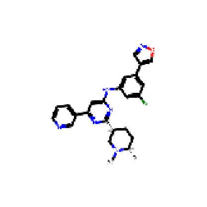 CC(=O)N1C[C@H](c2nc(Nc3cc(F)cc(-c4cnoc4)c3)cc(-c3cccnc3)n2)CC[C@@H]1C